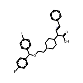 O=C(O)C(/C=C/c1ccccc1)C1CCN(CCOC(c2ccc(F)cc2)c2ccc(F)cc2)CC1